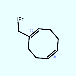 CC(C)C/C1=C/CC/C=C\CC1